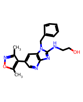 Cc1noc(C)c1-c1cnc2nc(NCCO)n(Cc3ccccc3)c2c1